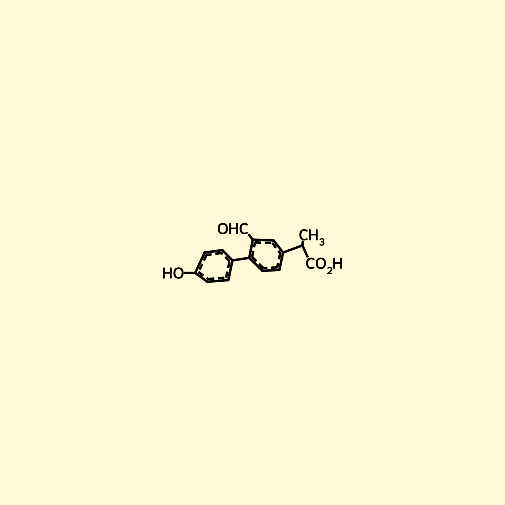 CC(C(=O)O)c1ccc(-c2ccc(O)cc2)c(C=O)c1